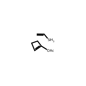 C=C[SiH3].CC(=O)OC1=CCC1